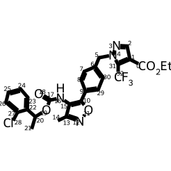 CCOC(=O)c1cnn(Cc2ccc(-c3onc(C)c3NC(=O)OC(C)c3ccccc3Cl)cc2)c1C(F)(F)F